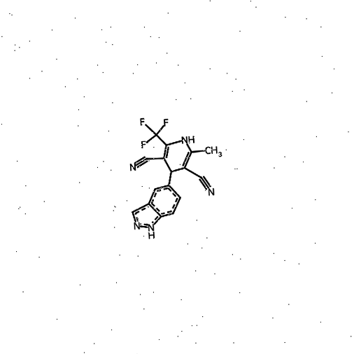 CC1=C(C#N)C(c2ccc3[nH]ncc3c2)C(C#N)=C(C(F)(F)F)N1